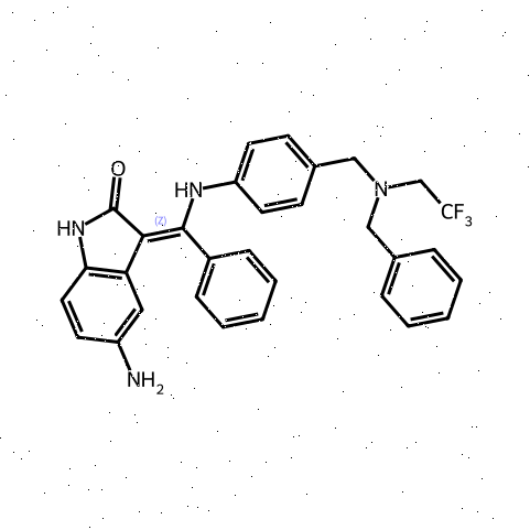 Nc1ccc2c(c1)/C(=C(/Nc1ccc(CN(Cc3ccccc3)CC(F)(F)F)cc1)c1ccccc1)C(=O)N2